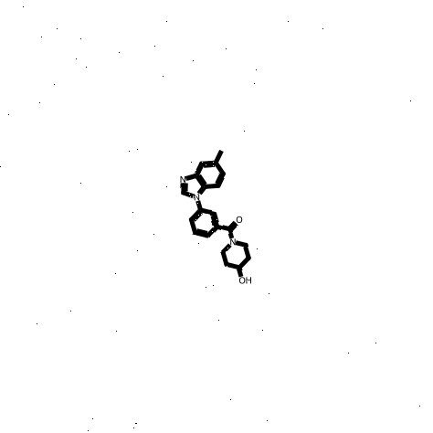 Cc1ccc2c(c1)ncn2-c1cccc(C(=O)N2CCC(O)CC2)c1